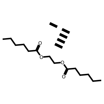 C=C.C=C.C=C.C=C.C=C.CCCCCC(=O)OCCOC(=O)CCCCC